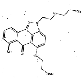 CNCCNc1ccc2c3c(nn2CCNCCO)-c2cccc(O)c2C(=O)c13